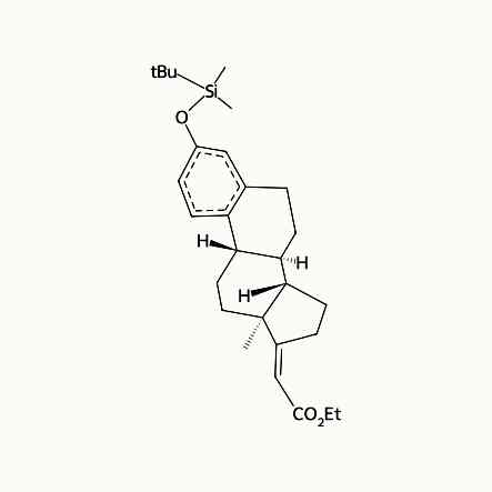 CCOC(=O)C=C1CC[C@H]2[C@@H]3CCc4cc(O[Si](C)(C)C(C)(C)C)ccc4[C@H]3CC[C@]12C